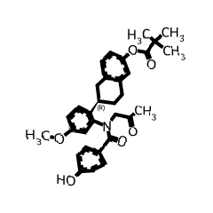 COc1ccc([C@@H]2CCc3cc(OC(=O)C(C)(C)C)ccc3C2)c(N(CC(C)=O)C(=O)c2ccc(O)cc2)c1